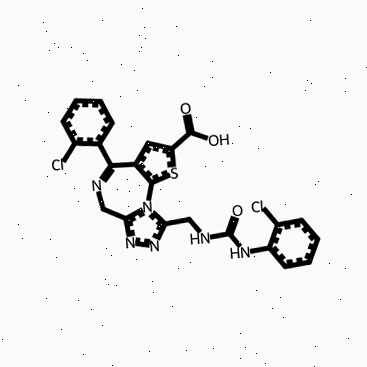 O=C(NCc1nnc2n1-c1sc(C(=O)O)cc1C(c1ccccc1Cl)=NC2)Nc1ccccc1Cl